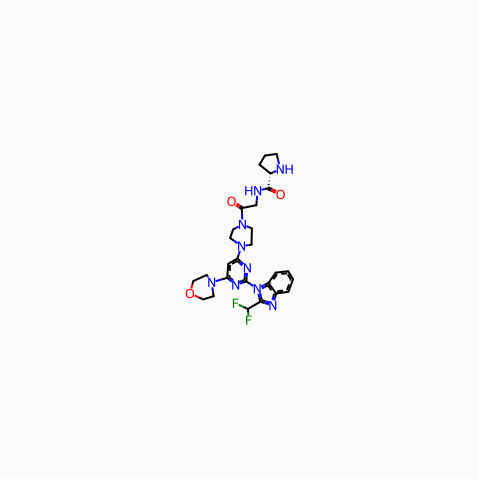 O=C(NCC(=O)N1CCN(c2cc(N3CCOCC3)nc(-n3c(C(F)F)nc4ccccc43)n2)CC1)[C@@H]1CCCN1